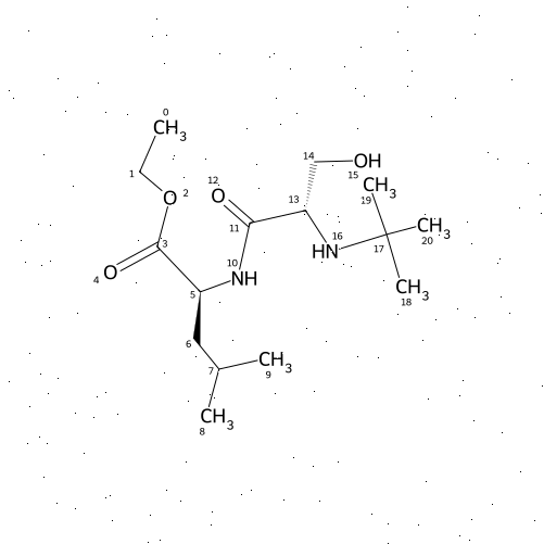 CCOC(=O)[C@H](CC(C)C)NC(=O)[C@H](CO)NC(C)(C)C